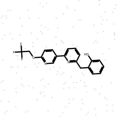 Oc1ccccc1Cc1cccc(-c2ccc(OCC(F)(F)F)nc2)n1